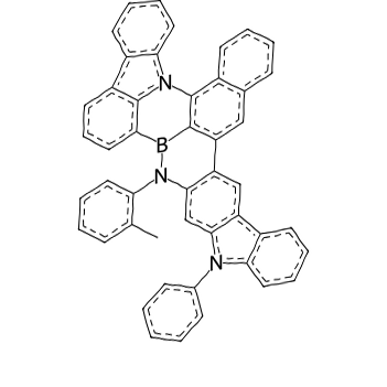 Cc1ccccc1N1B2c3c(cc4ccccc4c3-n3c4ccccc4c4cccc2c43)-c2cc3c4ccccc4n(-c4ccccc4)c3cc21